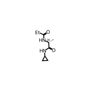 CCC(=O)N[C@H](C)C(=O)NC1CC1